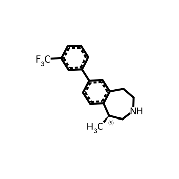 C[C@@H]1CNCCc2cc(-c3cccc(C(F)(F)F)c3)ccc21